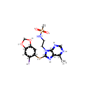 CCS(=O)(=O)NCCn1c(Sc2cc3c(cc2I)OCO3)nc2c(C)ncnc21